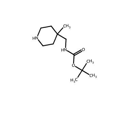 CC1(CNC(=O)OC(C)(C)C)CCNCC1